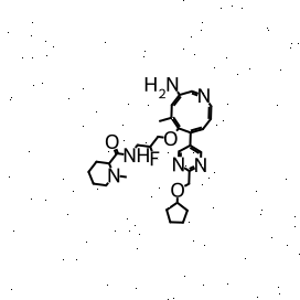 Cc1cc(N)cncccc(-c2cnc(COC3CCCC3)nc2)c1OCC(F)CNC(=O)C1CCCCN1C